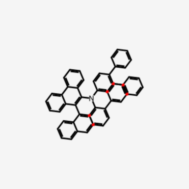 c1ccc(-c2ccc(N(c3ccccc3-c3ccccc3)c3c(-c4cccc5ccccc45)c4ccccc4c4ccccc34)cc2-c2ccccc2)cc1